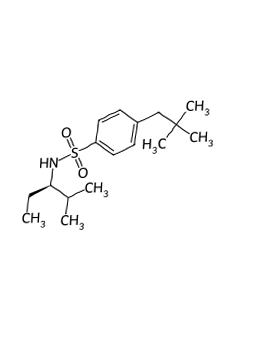 CC[C@@H](NS(=O)(=O)c1ccc(CC(C)(C)C)cc1)C(C)C